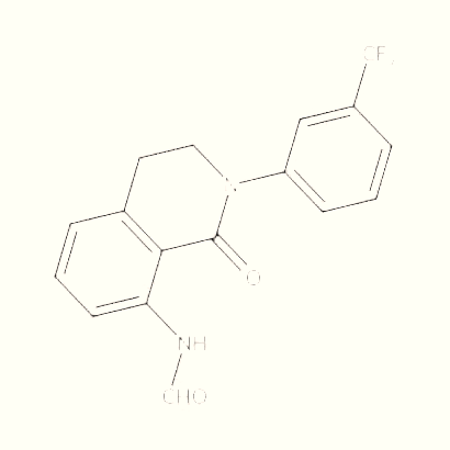 O=CNc1cccc2c1C(=O)N(c1cccc(C(F)(F)F)c1)CC2